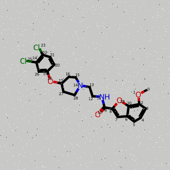 COc1cccc2cc(C(=O)NCCN3CCC(Oc4ccc(Cl)c(Cl)c4)CC3)oc12